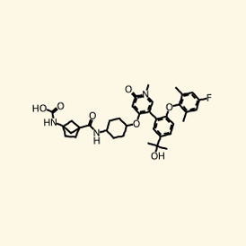 Cc1cc(F)cc(C)c1Oc1ccc(C(C)(C)O)cc1-c1cn(C)c(=O)cc1OC1CCC(NC(=O)C23CCC(NC(=O)O)(C2)C3)CC1